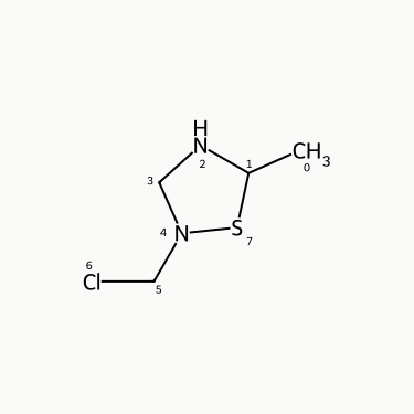 CC1NCN(CCl)S1